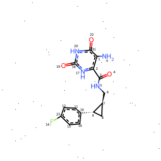 Nc1c(C(=O)NC[C@H]2C[C@@H]2c2ccc(F)cc2)[nH]c(=O)[nH]c1=O